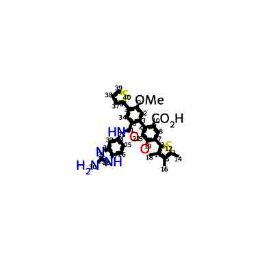 COc1cc(-c2cc3c(cc2C(=O)O)-c2sc(C)c(C)c2CO3)c(C(=O)Nc2ccc3[nH]c(N)nc3c2)cc1-c1cccs1